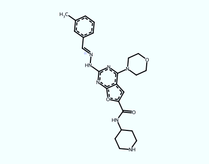 Cc1cccc(/C=N/Nc2nc(N3CCOCC3)c3cc(C(=O)NC4CCNCC4)oc3n2)c1